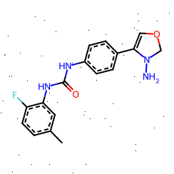 Cc1ccc(F)c(NC(=O)Nc2ccc(C3=COCN3N)cc2)c1